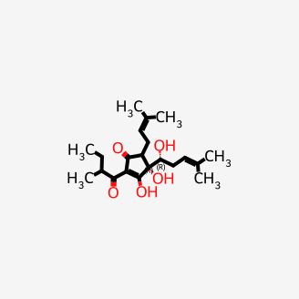 CCC(C)C(=O)C1=C(O)[C@](O)([C@H](O)CC=C(C)C)C(CC=C(C)C)C1=O